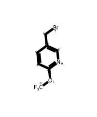 FC(F)(F)Oc1ccc(CBr)cn1